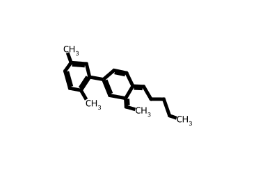 C/C=c1/cc(-c2cc(C)ccc2C)cc/c1=C/CCCC